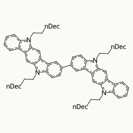 CCCCCCCCCCCCn1c2ccccc2c2cc3c(cc21)c1cc(-c2ccc4c(c2)c2cc5c(cc2n4CCCCCCCCCCCC)c2ccccc2n5CCCCCCCCCCCC)ccc1n3CCCCCCCCCCCC